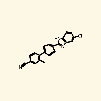 Cc1cc(C#N)ccc1-c1ccc(-c2nc3cc(Cl)ccc3[nH]2)cc1